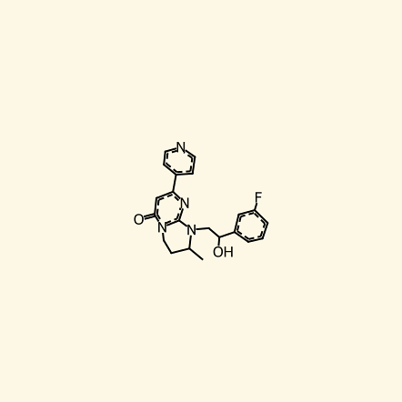 CC1CCn2c(nc(-c3ccncc3)cc2=O)N1CC(O)c1cccc(F)c1